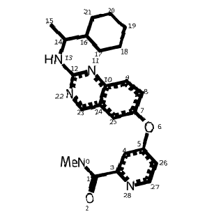 CNC(=O)c1cc(Oc2ccc3nc(NC(C)C4CCCCC4)ncc3c2)ccn1